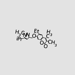 CCc1cc2c(C)c(C)c(=O)oc2cc1OCc1cc(C(C)C)n(C)n1